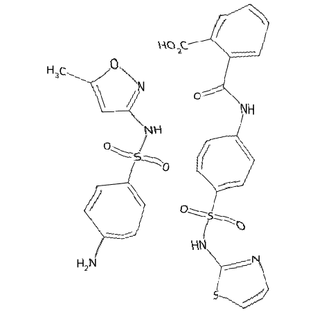 Cc1cc(NS(=O)(=O)c2ccc(N)cc2)no1.O=C(O)c1ccccc1C(=O)Nc1ccc(S(=O)(=O)Nc2nccs2)cc1